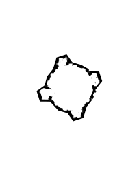 C1=Cc2cc3ccc(cc4nc(cc5ccc(cc1n2)s5)C=C4)[se]3